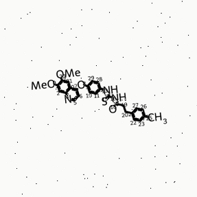 COc1cc2nccc(Oc3ccc(NC(=S)NC(=O)CCc4ccc(C)cc4)cc3)c2cc1OC